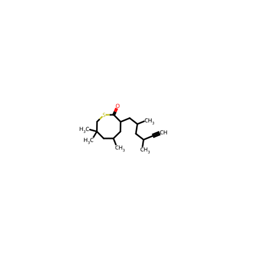 C#CC(C)CC(C)CC1CC(C)CC(C)(C)CSC1=O